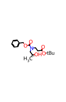 C[C@@H](O)CN(CCC(=O)OC(C)(C)C)C(=O)OCc1ccccc1